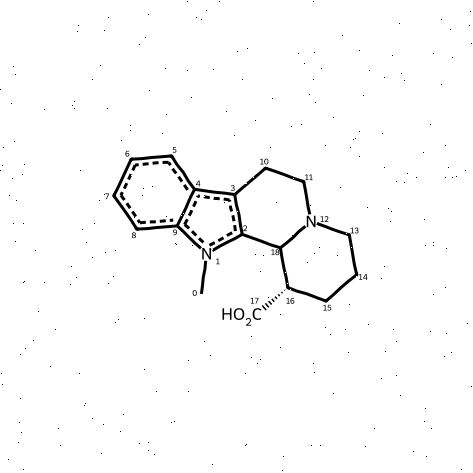 Cn1c2c(c3ccccc31)CCN1CCC[C@H](C(=O)O)C21